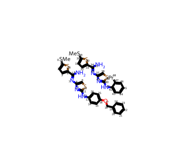 CSc1ccc(C(N)=Nc2csc(Nc3ccc(OCc4ccccc4)cc3)n2)s1.CSc1ccc(C(N)=Nc2csc(Nc3ccccc3C(C)C)n2)s1